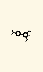 CCc1[c]c(CC)cc(-c2ccc(C(C)C)cc2)c1